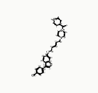 CC(C1CCNCC1)N1CCN(CCCCCOc2ccc3c(-c4ccc(Cl)cc4)coc3c2)CC1